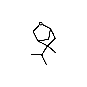 CC(C)C1(C)CC2CC1CO2